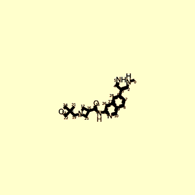 CN/C=C(\C=N)c1ccc2cnc(NC(=O)C3CN(CC4(C)COC4)C3)cc2c1